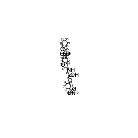 CNS(=O)(=O)c1cccc(OC[C@@H](O)CNC2COC3(CCN(S(=O)(=O)c4cc5ccccc5o4)CC3)C2)c1